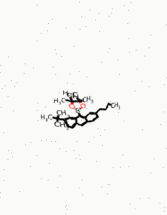 CCCCc1ccc2cc3ccc(C(C)(C)C)cc3c(B3OC(C)(C)C(C)(C)O3)c2c1